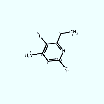 CCc1nc(Cl)cc(N)c1F